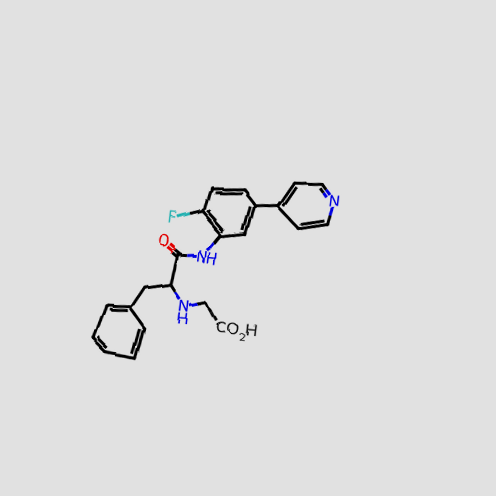 O=C(O)CNC(Cc1ccccc1)C(=O)Nc1cc(-c2ccncc2)ccc1F